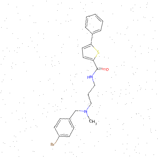 CN(CCCNC(=O)c1ccc(-c2ccccc2)s1)Cc1ccc(Br)cc1